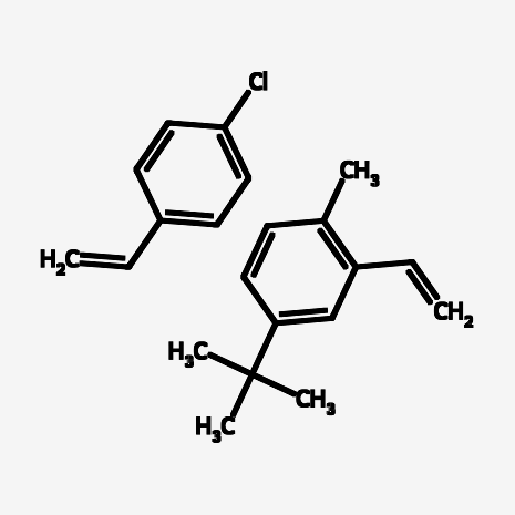 C=Cc1cc(C(C)(C)C)ccc1C.C=Cc1ccc(Cl)cc1